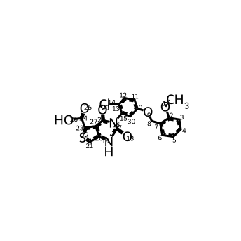 COc1ccccc1COc1ccc(Cl)c(-n2c(=O)[nH]c3csc(C(=O)O)c3c2=O)c1